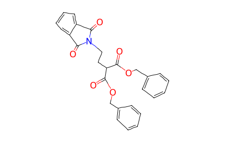 O=C(OCc1ccccc1)C(CCN1C(=O)c2ccccc2C1=O)C(=O)OCc1ccccc1